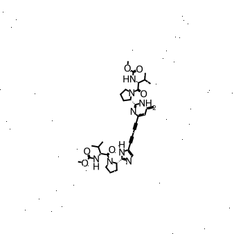 C=C/C=C(C#CC#Cc1cnc([C@@H]2CCCN2C(=O)[C@@H](NC(=O)OC)C(C)C)[nH]1)\N=C(/N)[C@@H]1CCCN1C(=O)[C@H](NC(=O)OC)C(C)C